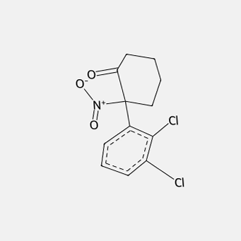 O=C1CCCCC1(c1cccc(Cl)c1Cl)[N+](=O)[O-]